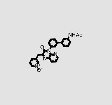 CC(=O)Nc1cccc(-c2cccc(-n3c(=O)c(Cc4ccc[n+]([O-])c4)nc4cccnc43)c2)c1